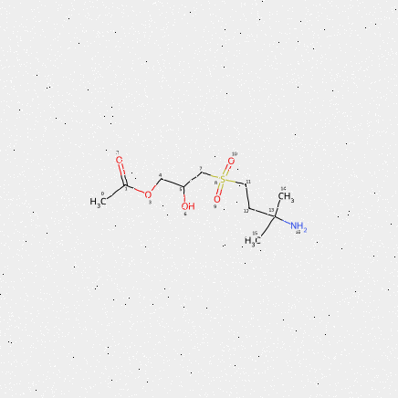 CC(=O)OCC(O)CS(=O)(=O)CCC(C)(C)N